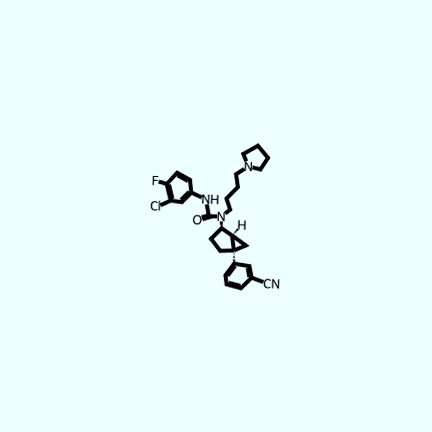 N#Cc1cccc([C@]23CC[C@@H](N(CCCCN4CCCC4)C(=O)Nc4ccc(F)c(Cl)c4)[C@H]2C3)c1